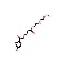 COCCOCCOC(=O)CCCCC(=O)c1ccc(Br)cc1